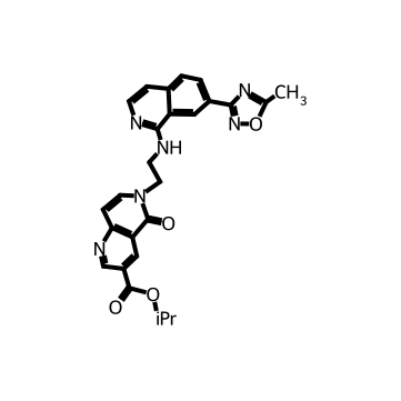 Cc1nc(-c2ccc3ccnc(NCCn4ccc5ncc(C(=O)OC(C)C)cc5c4=O)c3c2)no1